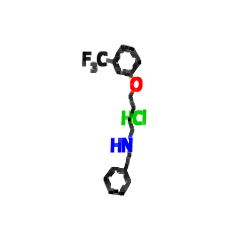 Cl.FC(F)(F)c1cccc(OCCCCNCc2ccccc2)c1